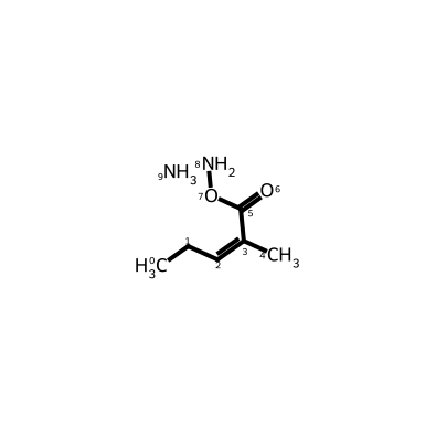 CCC=C(C)C(=O)ON.N